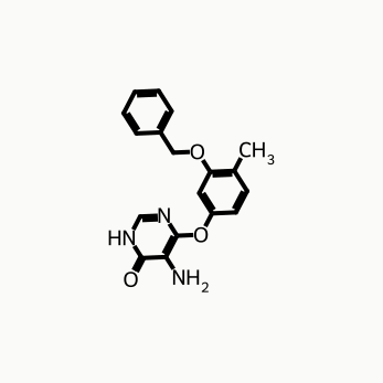 Cc1ccc(Oc2nc[nH]c(=O)c2N)cc1OCc1ccccc1